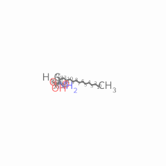 CCCCCCCCCCCC(=O)CC(C)[C@@H](N)C(=O)O